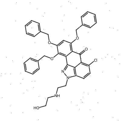 O=C1c2c(OCc3ccccc3)cc(OCc3ccccc3)c(OCc3ccccc3)c2-c2nn(CCNCCO)c3ccc(Cl)c1c23